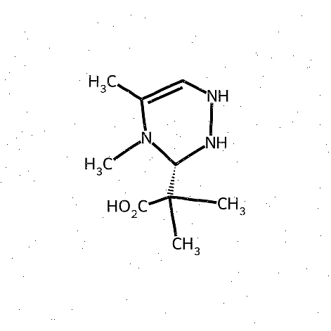 CC1=CNN[C@H](C(C)(C)C(=O)O)N1C